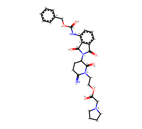 N=C1CCC(N2C(=O)c3cccc(NC(=O)OCc4ccccc4)c3C2=O)C(=O)N1CCOC(=O)CN1CCCC1